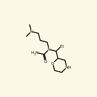 CCC(C1CNCCO1)N(CCCN(C)C)C(N)=O